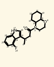 CC(CC(=O)N1CCOC2CCCCC21)c1c[nH]c2cccc(F)c12